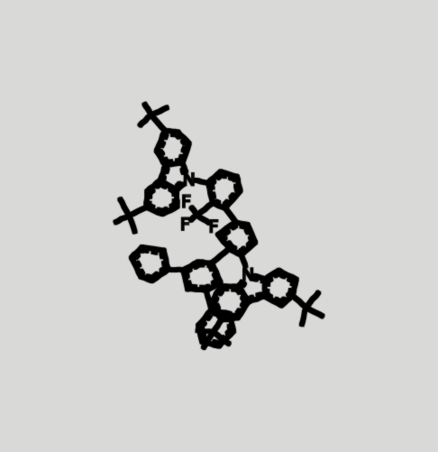 CC(C)(C)c1ccc2c(c1)c1cc(C(C)(C)C)ccc1n2-c1ccc(-c2cccc(-n3c4ccc(C(C)(C)C)cc4c4cc(C(C)(C)C)ccc43)c2C(F)(F)F)cc1-c1cc(-c2ccccc2)cc(-c2ccccc2)c1